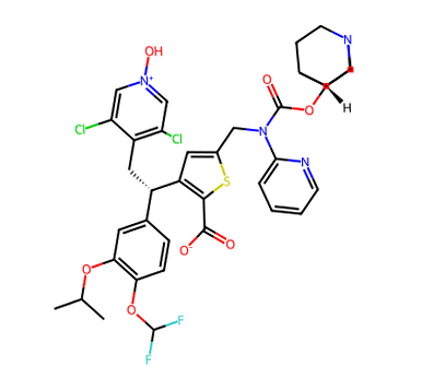 CC(C)Oc1cc([C@H](Cc2c(Cl)c[n+](O)cc2Cl)c2cc(CN(C(=O)O[C@H]3CN4CCC3CC4)c3ccccn3)sc2C(=O)[O-])ccc1OC(F)F